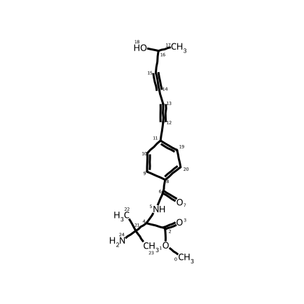 COC(=O)C(NC(=O)c1ccc(C#CC#CC(C)O)cc1)C(C)(C)N